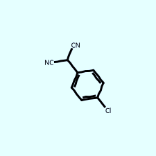 N#CC(C#N)c1ccc(Cl)cc1